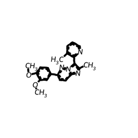 COc1ccc(-c2ccc3nc(C)c(-c4ncccc4C)n3n2)cc1OC